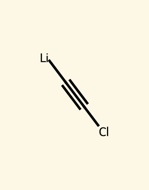 [Li][C]#CCl